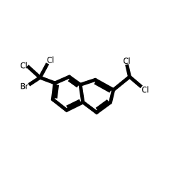 ClC(Cl)c1ccc2ccc(C(Cl)(Cl)Br)cc2c1